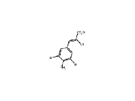 CCOC(=O)C(C#N)=Cc1cc(Br)c(N)c(Br)c1